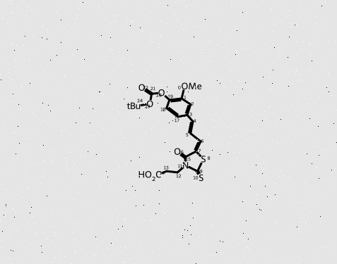 COc1cc(C=CC=C2SC(=S)N(CCC(=O)O)C2=O)ccc1OC(=O)OC(C)(C)C